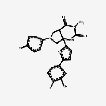 CN1C(=N)NC2(c3ccc(-c4ccc(F)c(C#N)c4)s3)CN(c3ccc(F)cc3)CC2C1=O